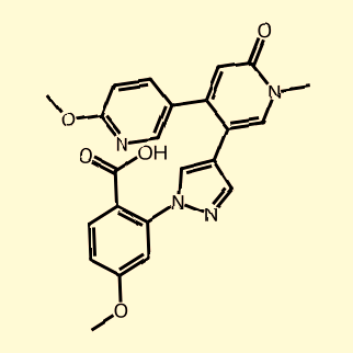 COc1ccc(C(=O)O)c(-n2cc(-c3cn(C)c(=O)cc3-c3ccc(OC)nc3)cn2)c1